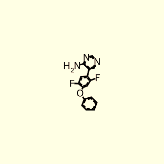 Nc1ncncc1-c1cc(F)c(Oc2ccccc2)cc1F